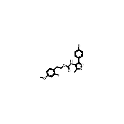 COc1ccc(CCOC(=O)Nc2c(C)noc2-c2ccc(Br)cc2)c(F)c1